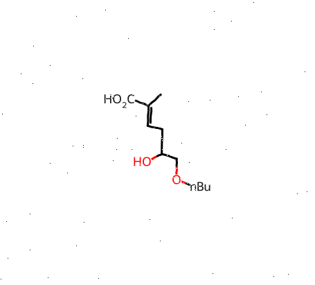 CCCCOCC(O)C/C=C(\C)C(=O)O